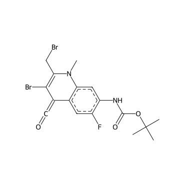 CN1C(CBr)=C(Br)C(=C=O)c2cc(F)c(NC(=O)OC(C)(C)C)cc21